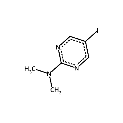 CN(C)c1ncc(I)cn1